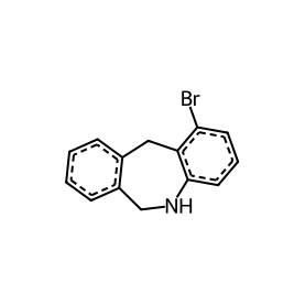 Brc1cccc2c1Cc1ccccc1CN2